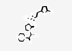 C[C@@H](C(=O)N1CCOCC1)N1CC[C@H](N(C)S(=O)(=O)/C=C/c2ccc(Cl)s2)C1=O